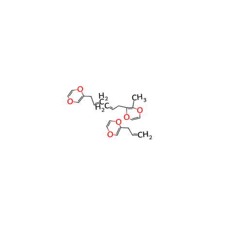 C=CCC1=C(C)OC=CO1.C=CCC1=COC=CO1.C=CCC1=COC=CO1